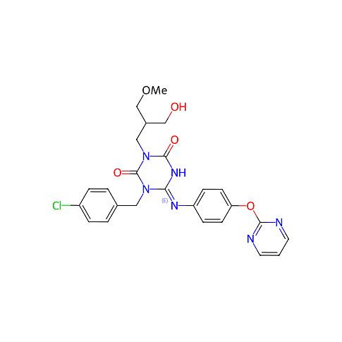 COCC(CO)Cn1c(=O)[nH]/c(=N\c2ccc(Oc3ncccn3)cc2)n(Cc2ccc(Cl)cc2)c1=O